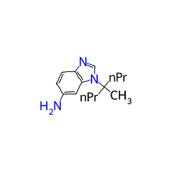 CCCC(C)(CCC)n1cnc2ccc(N)cc21